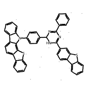 c1ccc(C2=NC(c3ccc(-n4c5ccccc5c5ccc6c7ccccc7sc6c54)cc3)NC(c3ccc4c(c3)sc3ccccc34)=N2)cc1